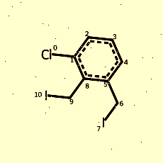 Clc1cccc(CI)c1CI